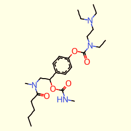 CCCCC(=O)N(C)CC(OC(=O)NC)c1ccc(OC(=O)N(CC)CCN(CC)CC)cc1